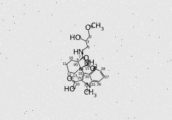 COCC(O)CNC(=O)[C@@H]1CCCC[C@@]1(C(N)=O)c1c(C(=O)O)n(C)c2ccccc12